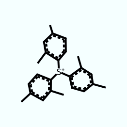 Cc1ccc([S+](c2ccc(C)cc2C)c2ccc(C)cc2C)c(C)c1